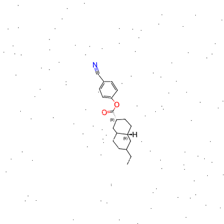 CCC1CCC2C[C@H](C(=O)Oc3ccc(C#N)cc3)CC[C@@H]2C1